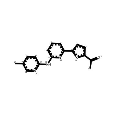 CC(=O)c1ccc(-c2cccc(Nc3ccc(C)cn3)n2)s1